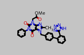 COC(=O)Cn1c(=O)n(-c2ccccc2)c(=O)c2c1nc(C)n2Cc1ccc(-c2ccccc2-c2nnn[nH]2)cc1